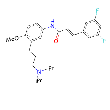 COc1ccc(NC(=O)C=Cc2cc(F)cc(F)c2)cc1CCCN(C(C)C)C(C)C